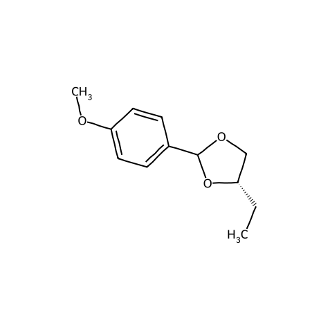 CC[C@H]1COC(c2ccc(OC)cc2)O1